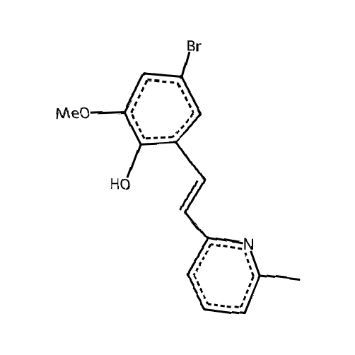 COc1cc(Br)cc(C=Cc2cccc(C)n2)c1O